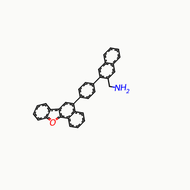 NCc1cc2ccccc2cc1-c1ccc(-c2cc3c4ccccc4oc3c3ccccc23)cc1